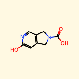 O=C(O)N1Cc2cnc(O)cc2C1